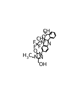 CCn1c(CO)nn(-c2ccc3nc(-c4ccccc4SC)c(=O)n([C@@H](C)C(F)(F)F)c3c2)c1=O